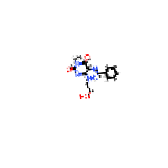 Cn1c(=O)nc2n(CCO)nc(-c3ccccc3)nc-2c1=O